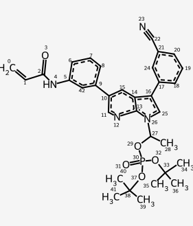 C=CC(=O)Nc1cccc(-c2cnc3c(c2)c(-c2cccc(C#N)c2)cn3C(C)OP(=O)(OC(C)(C)C)OC(C)(C)C)c1